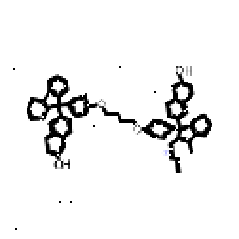 C=C/C=C\C1=C(C)c2ccccc2C1(c1ccc(OCCCCOc2ccc(C3(c4ccc5cc(O)ccc5c4)c4ccccc4-c4ccccc43)cc2)cc1)c1ccc2cc(O)ccc2c1